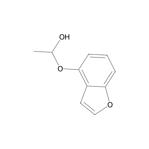 CC(O)Oc1cccc2occc12